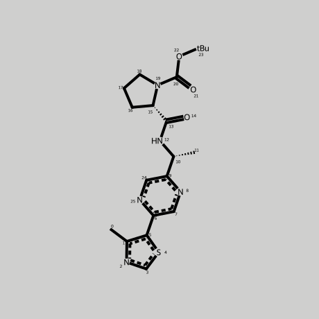 Cc1ncsc1-c1cnc([C@@H](C)NC(=O)[C@@H]2CCCN2C(=O)OC(C)(C)C)cn1